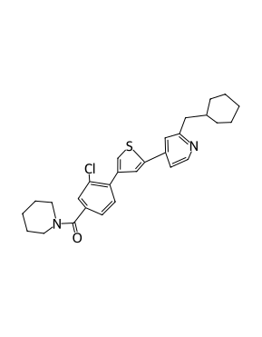 O=C(c1ccc(-c2csc(-c3ccnc(CC4CCCCC4)c3)c2)c(Cl)c1)N1CCCCC1